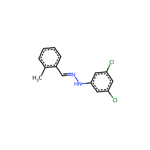 Cc1ccccc1/C=N/Nc1cc(Cl)cc(Cl)c1